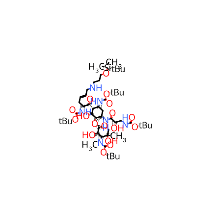 CN(C(=O)OC(C)(C)C)[C@@H]1[C@@H](O)[C@@H](O[C@H]2[C@H](NC(=O)[C@@H](O)CNC(=O)OC(C)(C)C)C[C@H](NC(=O)OC(C)(C)C)C([C@H]3OC(CNCCCO[Si](C)(C)C(C)(C)C)=CC[C@H]3NC(=O)OC(C)(C)C)[C@@H]2O)OC[C@]1(C)O